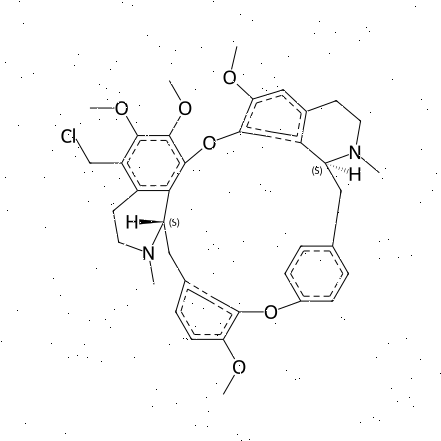 COc1ccc2cc1Oc1ccc(cc1)C[C@H]1c3cc(c(OC)cc3CCN1C)Oc1c(OC)c(OC)c(CCl)c3c1[C@H](C2)N(C)CC3